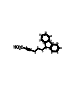 O=C(O)C#CCCCC1c2ccccc2-c2ccccc21